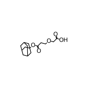 O=C(O)COCCC(=O)OC12CC3CC(CC(C3)C1)C2